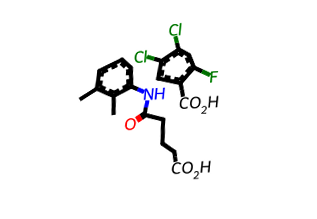 Cc1cccc(NC(=O)CCCC(=O)O)c1C.O=C(O)c1cc(Cl)c(Cl)cc1F